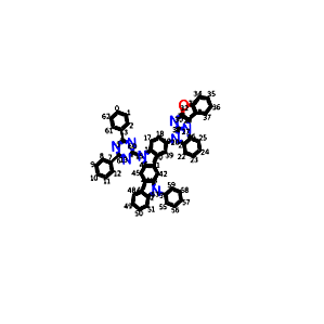 c1ccc(-c2nc(-c3ccccc3)nc(-n3c4ccc(-n5c6ccccc6n6c7c(nc56)oc5ccccc57)cc4c4cc5c(cc43)c3ccccc3n5-c3ccccc3)n2)cc1